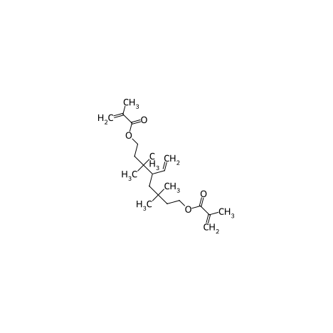 C=CC(CC(C)(C)CCOC(=O)C(=C)C)C(C)(C)CCOC(=O)C(=C)C